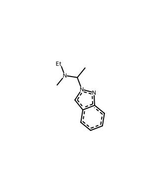 CCN(C)C(C)n1cc2ccccc2n1